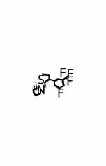 C[C@@H]1CCCN1Cc1sccc1-c1cc(F)cc(C(F)(F)F)c1